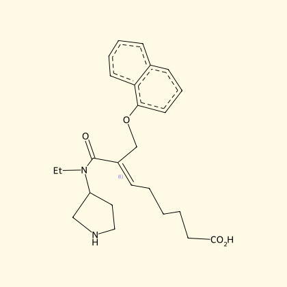 CCN(C(=O)/C(=C/CCCCC(=O)O)COc1cccc2ccccc12)C1CCNC1